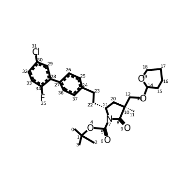 CC(C)(C)OC(=O)N1C(=O)[C@](C)(COC2CCCCO2)C[C@H]1CCc1ccc(-c2cc(Cl)ccc2F)cc1